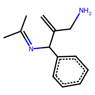 C=C(CN)C(N=C(C)C)c1ccccc1